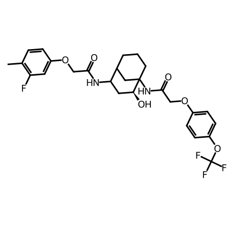 Cc1ccc(OCC(=O)NC2C[C@H](O)C3(NC(=O)COc4ccc(OC(F)(F)F)cc4)CCCC2C3)cc1F